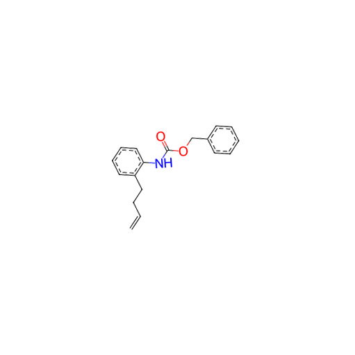 C=CCCc1ccccc1NC(=O)OCc1ccccc1